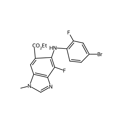 CCOC(=O)c1cc2c(ncn2C)c(F)c1Nc1ccc(Br)cc1F